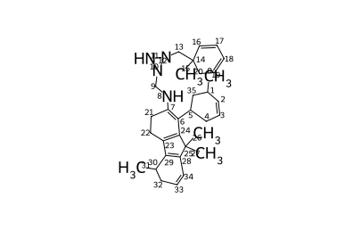 CC1C=CCC(C2=C(NCn3[nH]n3CC3(C)C=CC=CC3)CCC3=C2C(C)(C)C2=C3C(C)CC=C2)C1